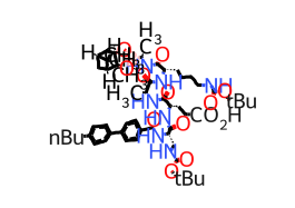 CCCCc1ccc(-c2ccc(C(=O)N[C@@H](CNC(=O)OC(C)(C)C)C(=O)N[C@@H](CCC(=O)O)C(=O)N[C@@H](C)C(=O)N[C@@H](CCCCNC(=O)OC(C)(C)C)C(=O)N[C@@H](C)B3O[C@@H]4C[C@@H]5C[C@@H](C5(C)C)[C@]4(C)O3)cc2)cc1